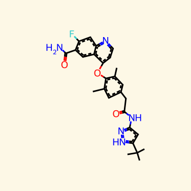 Cc1cc(CC(=O)Nc2cc(C(C)(C)C)[nH]n2)cc(C)c1Oc1ccnc2cc(F)c(C(N)=O)cc12